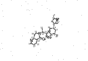 Cc1cc(-c2cc(F)c3nnc([C@H](C)n4ccc5ncccc5c4=O)n3c2)on1